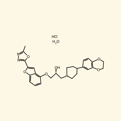 Cc1nnc(-c2cc3c(OC[C@@H](O)CN4CCC(c5ccc6c(c5)OCCO6)CC4)cccc3o2)o1.Cl.O